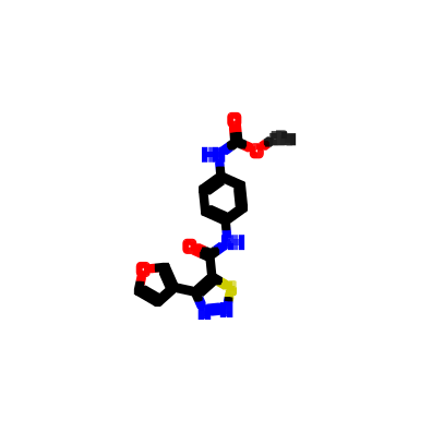 CC(C)(C)OC(=O)Nc1ccc(NC(=O)c2snnc2-c2ccoc2)cc1